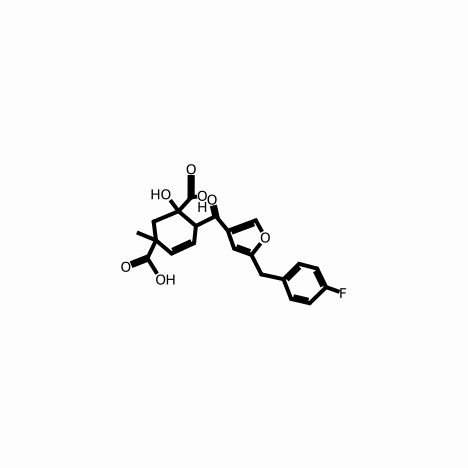 CC1(C(=O)O)C=CC(C(=O)c2coc(Cc3ccc(F)cc3)c2)C(O)(C(=O)O)C1